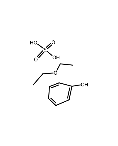 CCOCC.O=S(=O)(O)O.Oc1ccccc1